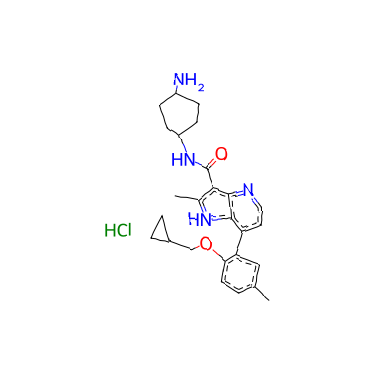 Cc1ccc(OCC2CC2)c(-c2ccnc3c(C(=O)NC4CCC(N)CC4)c(C)[nH]c23)c1.Cl